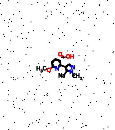 COc1cccc(-c2cnn(C)[c]2[Na])n1.O=CO